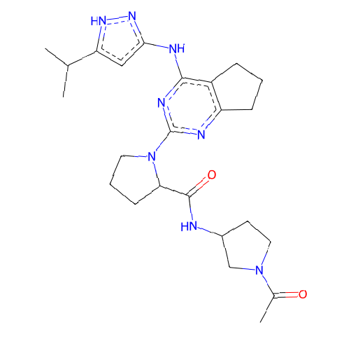 CC(=O)N1CCC(NC(=O)C2CCCN2c2nc3c(c(Nc4cc(C(C)C)[nH]n4)n2)CCC3)C1